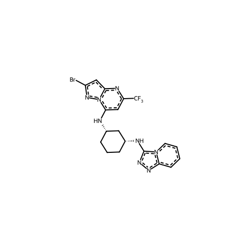 FC(F)(F)c1cc(N[C@H]2CCC[C@@H](Nc3nnc4ccccn34)C2)n2nc(Br)cc2n1